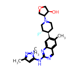 Cc1cc(Nc2ncc3cc(C)c([C@@H]4CCN([C@H]5COC[C@H]5O)C[C@H]4F)cc3n2)n(C)n1